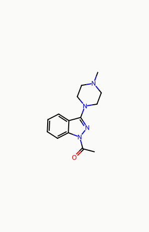 CC(=O)n1nc(N2CCN(C)CC2)c2ccccc21